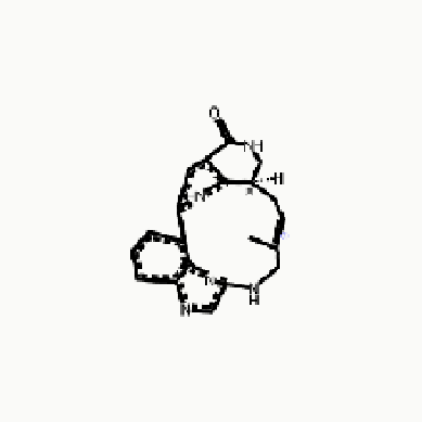 C/C1=C\C[C@@H]2CNC(=O)c3cc([nH]c32)-c2cccc3ncc(nc23)NC1